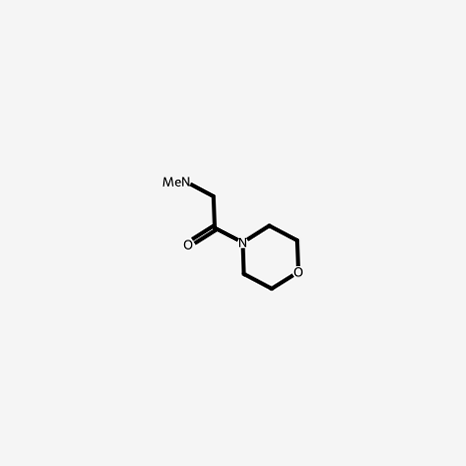 CNCC(=O)N1CCOCC1